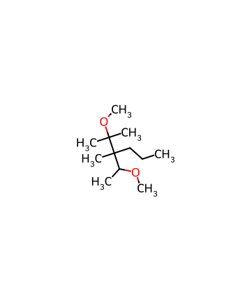 CCCC(C)(C(C)OC)C(C)(C)OC